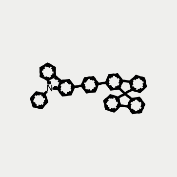 c1ccc(-n2c3ccccc3c3cc(-c4ccc(-c5ccc6c(c5)C5(c7ccccc7-c7ccccc75)c5ccccc5-6)cc4)ccc32)cc1